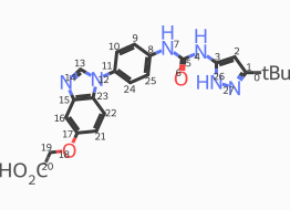 CC(C)(C)c1cc(NC(=O)Nc2ccc(-n3cnc4cc(OCC(=O)O)ccc43)cc2)[nH]n1